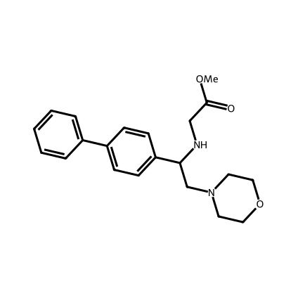 COC(=O)CNC(CN1CCOCC1)c1ccc(-c2ccccc2)cc1